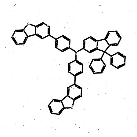 c1ccc(C2(c3ccccc3)c3ccccc3-c3ccc(N(c4ccc(-c5ccc6oc7ccccc7c6c5)cc4)c4ccc(-c5ccc6oc7ccccc7c6c5)cc4)cc32)cc1